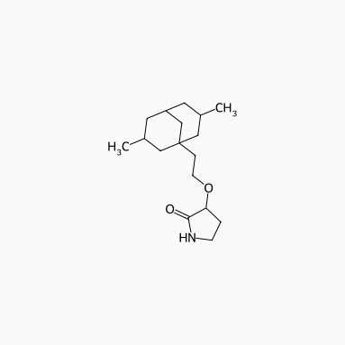 CC1CC2CC(C)CC(CCOC3CCNC3=O)(C1)C2